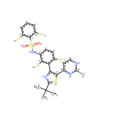 CC(C)(C)c1nc(-c2c(F)ccc(NS(=O)(=O)c3c(F)cccc3F)c2F)c(-c2ccnc(Cl)n2)s1